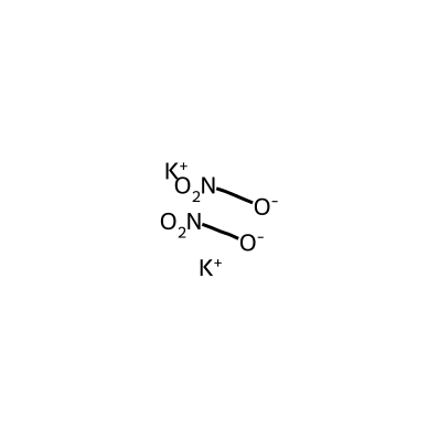 O=[N+]([O-])[O-].O=[N+]([O-])[O-].[K+].[K+]